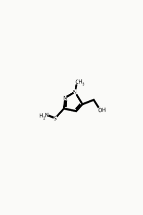 Cn1nc(SN)cc1CO